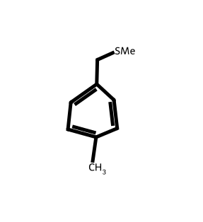 CSCc1ccc(C)cc1